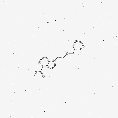 COC(=O)c1cccc2c1ccn2CCOCc1ccccc1